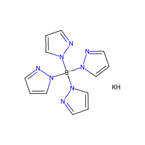 [KH].c1cnn([B-](n2cccn2)(n2cccn2)n2cccn2)c1